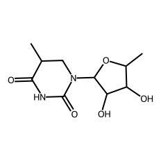 CC1CN(C2OC(C)C(O)C2O)C(=O)NC1=O